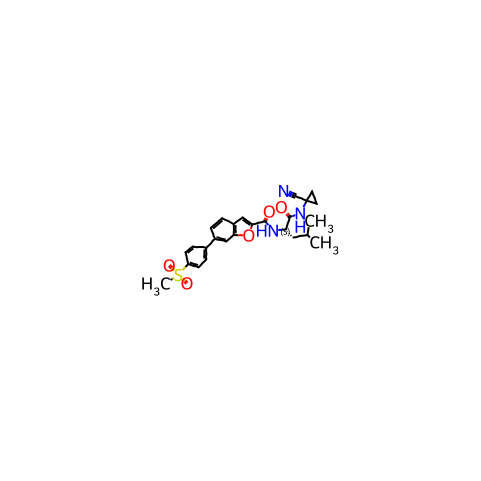 CC(C)C[C@H](NC(=O)c1cc2ccc(-c3ccc(S(C)(=O)=O)cc3)cc2o1)C(=O)NC1(C#N)CC1